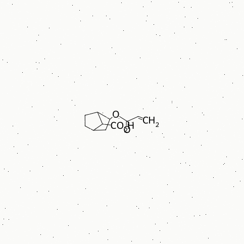 C=CC(=O)OC1CC2CCC1C2C(=O)O